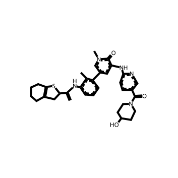 C=C(Nc1cccc(-c2cc(Nc3ccc(C(=O)N4CCC(O)CC4)cn3)c(=O)n(C)c2)c1C)C1CC2=C(CCCC2)S1